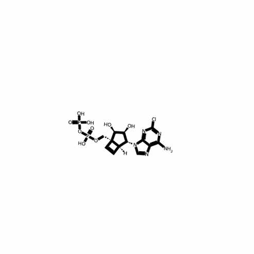 Nc1nc(Cl)nc2c1ncn2[C@H]1[C@H](O)[C@H](O)[C@]2(COP(=O)(O)OP(=O)(O)O)C=C[C@H]12